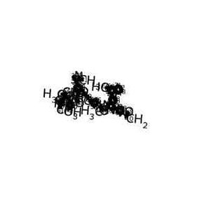 C=CC(=O)N1CCN(c2nc(O[C@H](C)CN3CCC(OCCOc4cc(-c5scnc5C)ccc4CNC(=O)[C@@H]4C[C@@H](O)CN4C(O)[C@@H](c4cc(C)no4)C(C)C)CC3)nc3c2CCN(c2cc(O)cc4ccccc24)C3)CC1